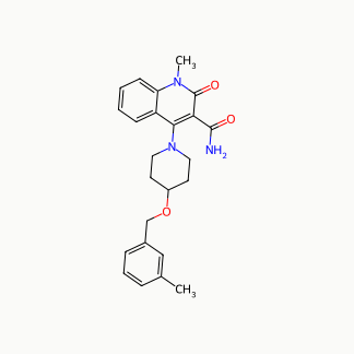 Cc1cccc(COC2CCN(c3c(C(N)=O)c(=O)n(C)c4ccccc34)CC2)c1